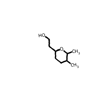 CC1CCC(CCO)OC1C